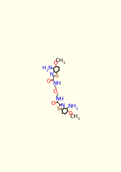 COc1ccc2sc(C(=O)NCCOCCNC(=O)c3nc4c(N)c(OC)ccc4s3)nc2c1N